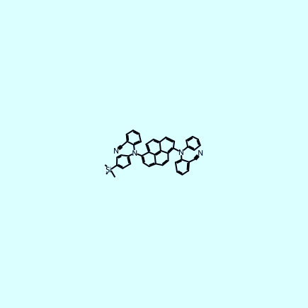 C[Si](C)(C)c1ccc(N(c2ccccc2C#N)c2ccc3ccc4c(N(c5ccccc5)c5ccccc5C#N)ccc5ccc2c3c54)cc1